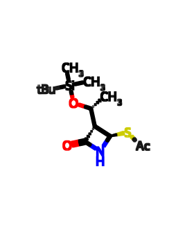 CC(=O)S[C@H]1NC(=O)[C@@H]1[C@@H](C)O[Si](C)(C)C(C)(C)C